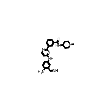 CN1CCC(NC(=O)c2cccc(-c3nccc(Nc4ccc(N)c(C=N)c4)n3)c2)CC1